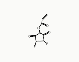 C=CC(=O)ON1C(=O)C(F)C(F)C1=O